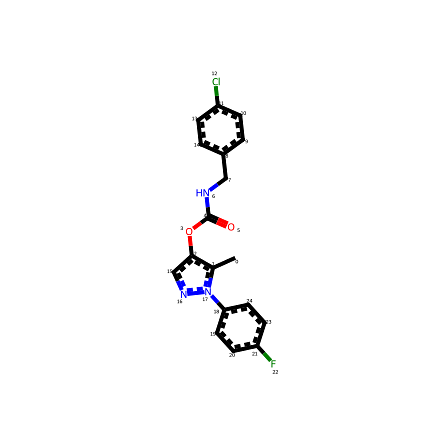 Cc1c(OC(=O)NCc2ccc(Cl)cc2)cnn1-c1ccc(F)cc1